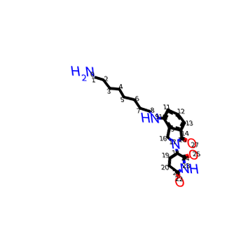 NCCCCCCCCNc1cccc2c1CN(C1CCC(=O)NC1=O)C2=O